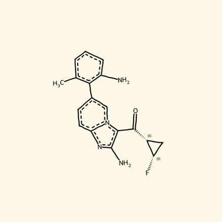 Cc1cccc(N)c1-c1ccc2nc(N)c(C(=O)[C@@H]3C[C@@H]3F)n2c1